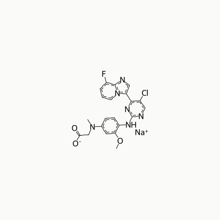 COc1cc(N(C)CC(=O)[O-])ccc1Nc1ncc(Cl)c(-c2cnc3c(F)cccn23)n1.[Na+]